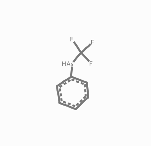 FC(F)(F)[AsH]c1ccccc1